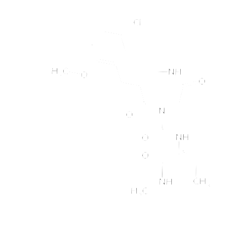 CC[C@@H](NC(=O)N1CC(=O)NCC(Cc2cc(Cl)ccc2OC)C1=O)C(=O)NC